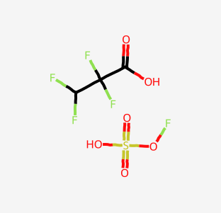 O=C(O)C(F)(F)C(F)F.O=S(=O)(O)OF